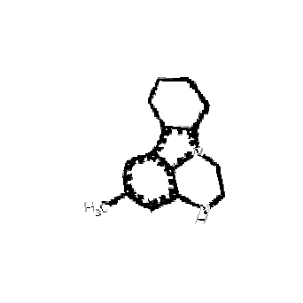 Cc1cc2c3c(c1)c1c(n3CCN2)CCCC1